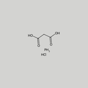 Cl.O=C(O)CC(=O)O.P